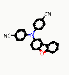 N#Cc1ccc(N(c2ccc(C#N)cc2)c2ccc3oc4ccccc4c3c2)cc1